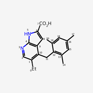 CCc1cnc2[nH]c(C(=O)O)cc2c1Cc1c(C)cc(C)cc1C